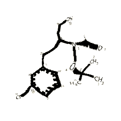 CC(C)(C)ON(C=O)C(CO)Cc1cccc(Cl)c1